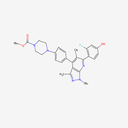 Cc1nn(C(C)(C)C)c2nc(-c3ccc(O)cc3F)c(C#N)c(-c3ccc(N4CCN(C(=O)OC(C)(C)C)CC4)cc3)c12